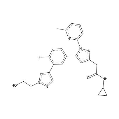 Cc1cccc(-n2nc(CC(=O)NC3CC3)cc2-c2ccc(F)c(-c3cnn(CCO)c3)c2)n1